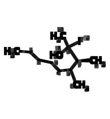 CCCCCC(C)[C@H](C)C(C)(O)F